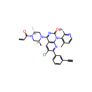 C#Cc1cccc(-c2nc3c(cc2Cl)c(N2C[C@@H](C)N(C(=O)C=C)C[C@@H]2C)nc(=O)n3-c2c(C)ccnc2C(C)C)c1